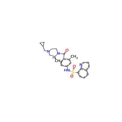 Cc1cc(NS(=O)(=O)c2cccc3cccnc23)ccc1C(=O)N1CCN(CC2CC2)C[C@@H]1C